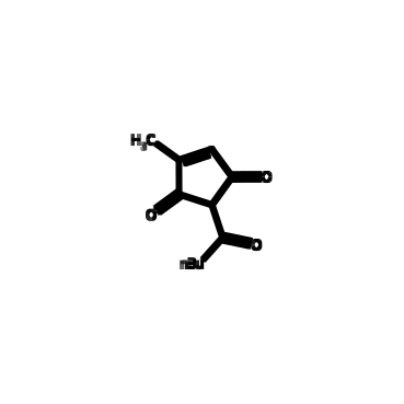 CCCCC(=O)C1C(=O)C=C(C)C1=O